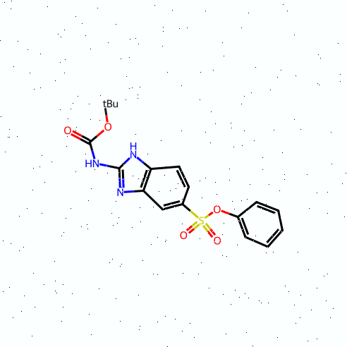 CC(C)(C)OC(=O)Nc1nc2cc(S(=O)(=O)Oc3ccccc3)ccc2[nH]1